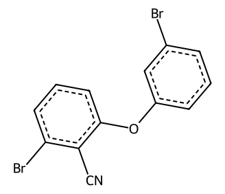 N#Cc1c(Br)cccc1Oc1cccc(Br)c1